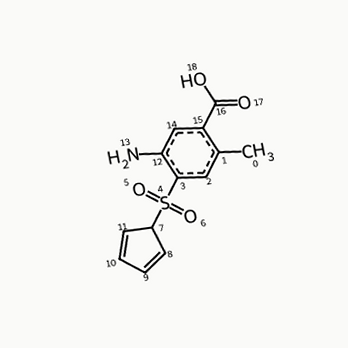 Cc1cc(S(=O)(=O)C2C=CC=C2)c(N)cc1C(=O)O